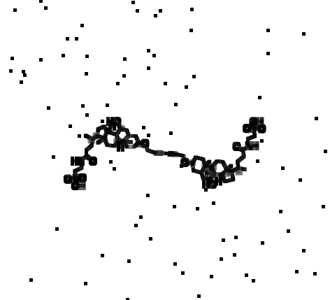 C[C@H](CCC(=O)NCCS(=O)(=O)O)[C@H]1CC[C@@H]2C3[C@@H](CC[C@@]21C)[C@@]1(C)CC[C@H](OCC#CC#CCO[C@H]2CC[C@@]4(C)C(C2)C[C@H](O)C2[C@H]5CC[C@H]([C@H](C)CCC(=O)NCCS(=O)(=O)O)[C@@]5(C)CC[C@H]24)CC1C[C@@H]3O